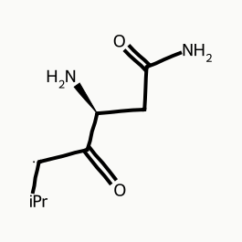 CC(C)[CH]C(=O)[C@@H](N)CC(N)=O